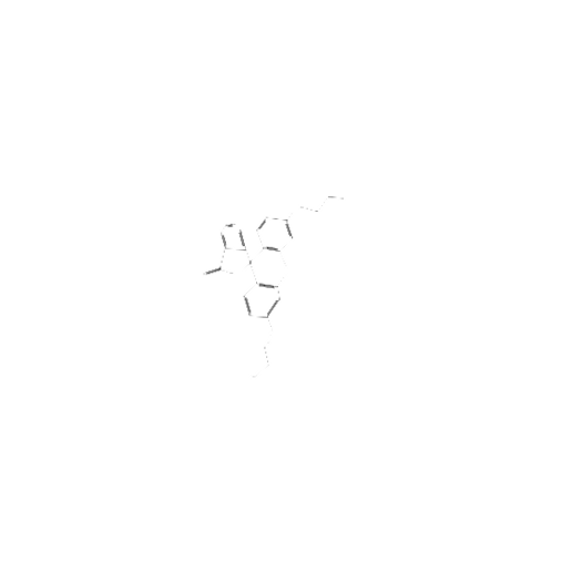 O=C1OC2(c3ccc(OCCCl)cc3Oc3cc(OCCCl)ccc32)c2ccccc21